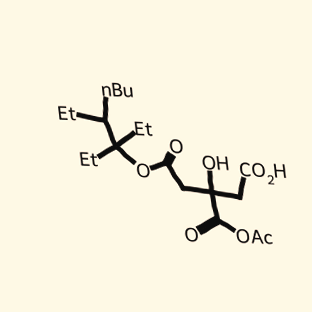 CCCCC(CC)C(CC)(CC)OC(=O)CC(O)(CC(=O)O)C(=O)OC(C)=O